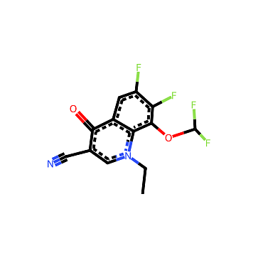 CCn1cc(C#N)c(=O)c2cc(F)c(F)c(OC(F)F)c21